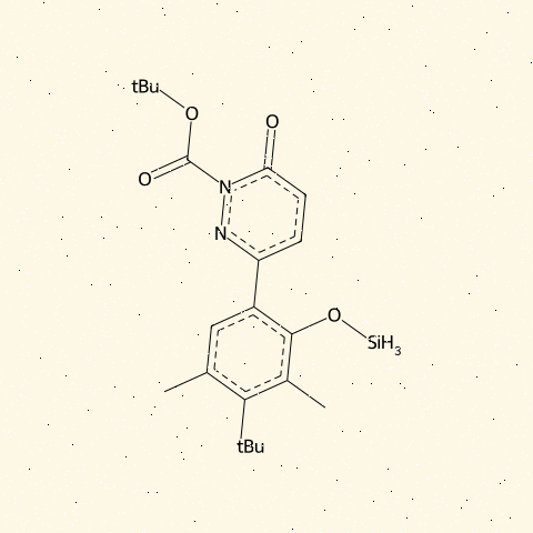 Cc1cc(-c2ccc(=O)n(C(=O)OC(C)(C)C)n2)c(O[SiH3])c(C)c1C(C)(C)C